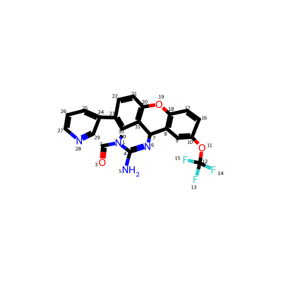 CN(C=O)/C(N)=N\C1c2cc(OC(F)(F)F)ccc2Oc2ccc(-c3cccnc3)cc21